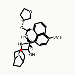 COc1ccc(S(=O)(=O)NC2CC3CCC(C2)N3CC(O)[C@H](Cc2ccccc2)NC(=O)O[C@@H]2CCOC2)cc1